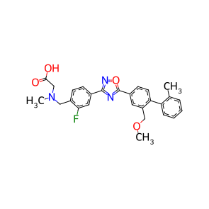 COCc1cc(-c2nc(-c3ccc(CN(C)CC(=O)O)c(F)c3)no2)ccc1-c1ccccc1C